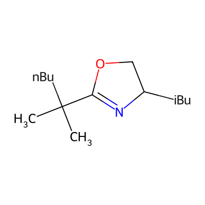 CCCCC(C)(C)C1=NC(C(C)CC)CO1